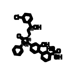 O=C1[C@H](CC[C@H](O)c2cccc(Cl)c2)[C@@H](c2ccc(-c3cccc(P(=O)(O)O)c3)c(O)c2)N1c1ccccc1